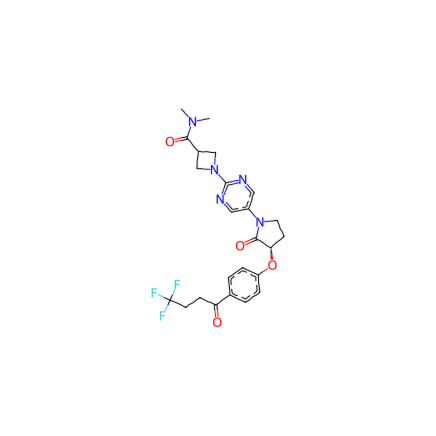 CN(C)C(=O)C1CN(c2ncc(N3CC[C@@H](Oc4ccc(C(=O)CCC(F)(F)F)cc4)C3=O)cn2)C1